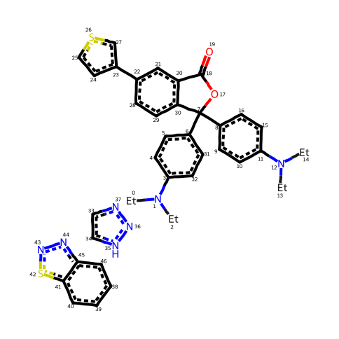 CCN(CC)c1ccc(C2(c3ccc(N(CC)CC)cc3)OC(=O)c3cc(-c4ccsc4)ccc32)cc1.c1c[nH]nn1.c1ccc2snnc2c1